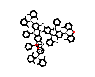 Cc1cccc(C)c1N(c1cc2c3c(c1)N(c1ccccc1)c1cc4c(cc1B3c1ccccc1O2)B1c2cc3c(cc2N(c2ccccc2)c2cc(N(c5c(C)cccc5C)c5c(C)cccc5C)cc(c21)O4)N(c1ccccc1)c1cc(N(c2c(C)cccc2C)c2c(C)cccc2C)cc2c1B3c1ccccc1O2)c1c(C)cccc1C